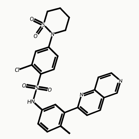 Cc1ccc(NS(=O)(=O)c2ccc(N3CCCCS3(=O)=O)cc2Cl)cc1-c1ccc2cnccc2n1